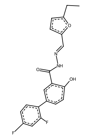 CCc1ccc(C=NNC(=O)c2cc(-c3ccc(F)cc3F)ccc2O)o1